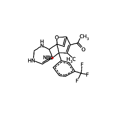 CC(=O)C1=C(C)C(C#N)(c2cccc(C(F)(F)F)c2)C2(C3C=CNCN3)C=C1O2